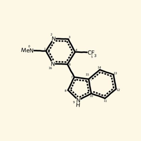 CNc1ncc(C(F)(F)F)c(-c2c[nH]c3ccccc23)n1